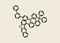 c1ccc(-c2cccc(-c3ccc(N(c4ccccc4-c4cccc5oc6cc7ccccc7cc6c45)c4cccc5c4-c4ccccc4C5(c4ccccc4)c4ccccc4)cc3)c2)cc1